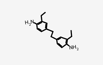 CCc1cc(CCc2ccc(N)c(CC)c2)ccc1N